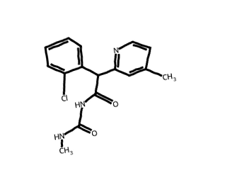 CNC(=O)NC(=O)C(c1cc(C)ccn1)c1ccccc1Cl